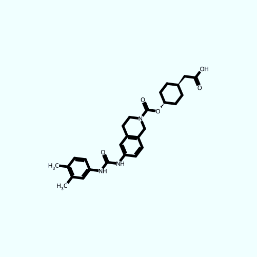 Cc1ccc(NC(=O)Nc2ccc3c(c2)CCN(C(=O)O[C@H]2CC[C@H](CC(=O)O)CC2)C3)cc1C